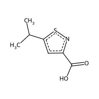 CC(C)c1cc(C(=O)O)ns1